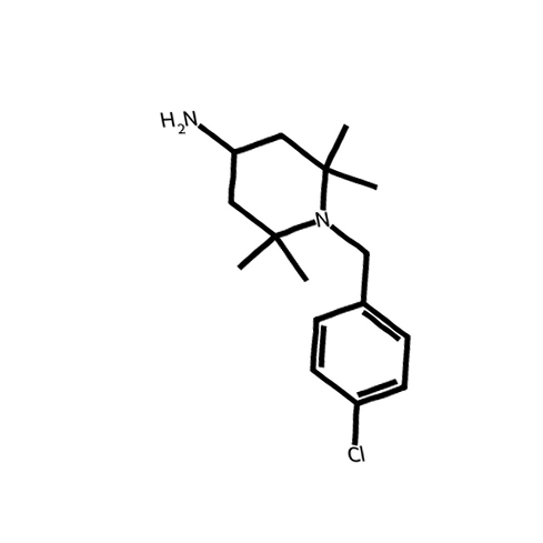 CC1(C)CC(N)CC(C)(C)N1Cc1ccc(Cl)cc1